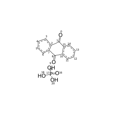 O=C1c2ccccc2C(=O)c2ccccc21.O=P(O)(O)O